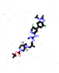 C=N/C(=N\C=C(/C)CN1C[C@@H]2CCN(C(=O)OC(C)(C)C)C[C@@H]21)Nc1cc(-c2cc(F)c3nc(C)n(C(C)C)c3c2)c(F)cn1